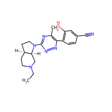 CCN1CC[C@H]2CCN(c3nnc(-c4ccc(C#N)cc4O)c(C)n3)[C@H]2C1